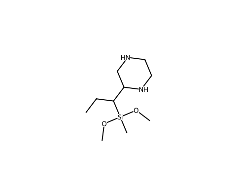 CCC(C1CNCCN1)[Si](C)(OC)OC